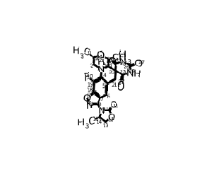 C[C@@H]1CN2c3c(cc4c(N5C(=O)OC[C@H]5C)noc4c3F)CC3(C(=O)NC(=O)NC3=O)[C@@H]2[C@@H](C)O1